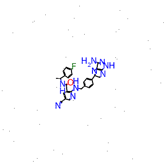 C[C@H](NC(=O)c1cc(C#N)cnc1NCc1ccc(-c2cnc3[nH]nc(N)c3n2)cc1)c1ccc(F)cc1